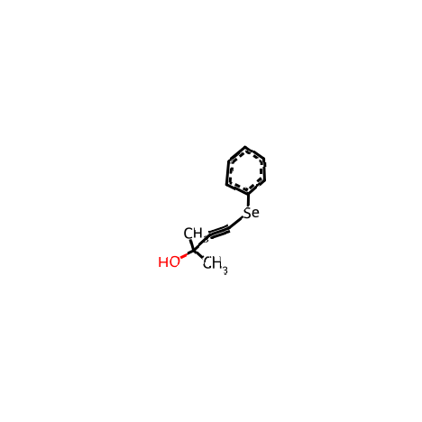 CC(C)(O)C#C[Se]c1ccccc1